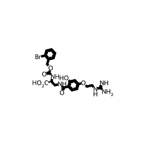 N=C(N)NCCOc1ccc(C(=O)NC[C@H](NC(=O)OCc2ccccc2Br)C(=O)O)c(O)c1